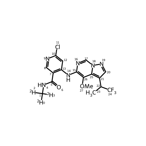 [2H]C([2H])([2H])NC(=O)c1cnc(Cl)cc1Nc1ncn2ncc(C(C)C(F)(F)F)c2c1OC